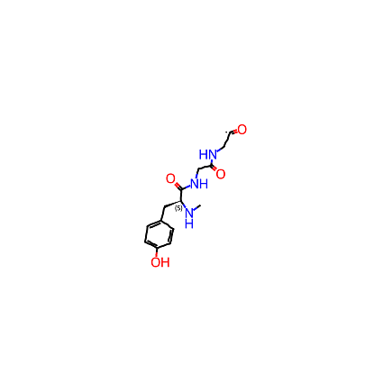 CN[C@@H](Cc1ccc(O)cc1)C(=O)NCC(=O)NC[C]=O